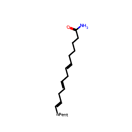 CCCCC/C=C/C/C=C/C/C=C/CCCCC(N)=O